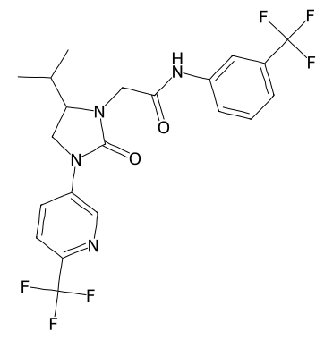 CC(C)C1CN(c2ccc(C(F)(F)F)nc2)C(=O)N1CC(=O)Nc1cccc(C(F)(F)F)c1